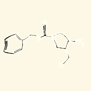 N[C@@H]1CN(C(=O)OCc2ccccc2)C[C@@H]1CCl